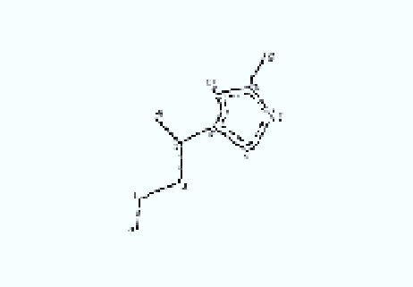 CCCC(C)c1cnc(C)s1